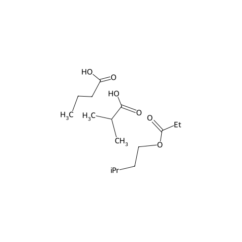 CC(C)C(=O)O.CCC(=O)OCCC(C)C.CCCC(=O)O